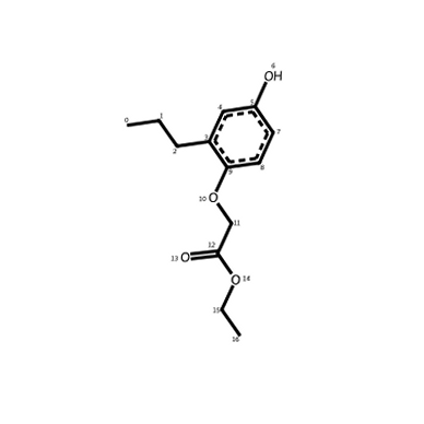 CCCc1cc(O)ccc1OCC(=O)OCC